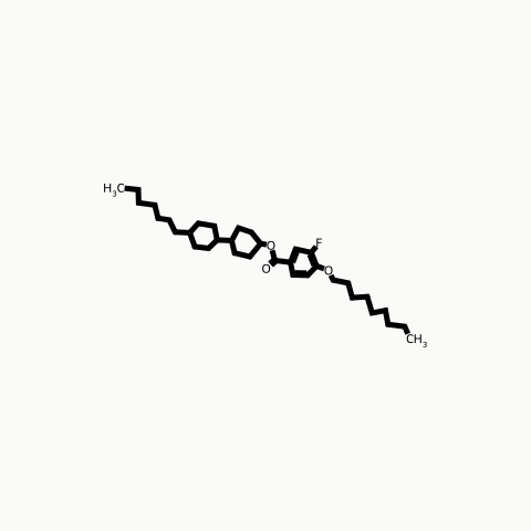 CCCCCCCCCOc1ccc(C(=O)OC2CCC(C3CCC(CCCCCCC)CC3)CC2)cc1F